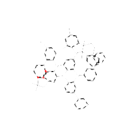 Cc1cc(C)c2c(c1)C1(C)CCc3ccccc3C1(C)N2c1cc2c3c(c1)N(c1ccc(C(C)(C)C)cc1-c1ccccc1)c1cc4c(cc1B3c1ccc(-c3ccccc3)cc1N2c1cccc(-c2ccccc2)c1)CC(C)(C)C4